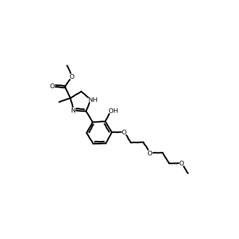 COCCOCCOc1cccc(C2=NC(C)(C(=O)OC)CN2)c1O